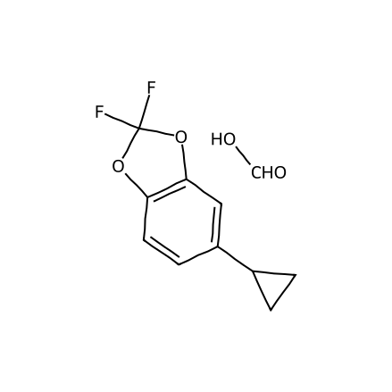 FC1(F)Oc2ccc(C3CC3)cc2O1.O=CO